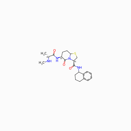 CN[C@H](C)C(=O)N[C@H]1CCC2SC[C@@H](C(=O)NC3CCCc4ccccc43)N2C1=O